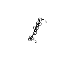 C=CC(=O)OCCCCOc1ccc(C(=O)Oc2ccc(OC(=O)C#CC)cc2)cc1